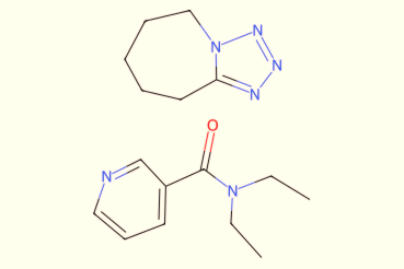 C1CCc2nnnn2CC1.CCN(CC)C(=O)c1cccnc1